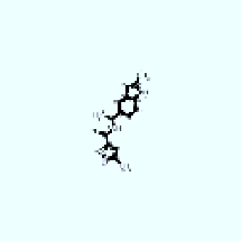 Cc1cc(C(=O)NC(C)c2ccc3[nH]c(C)cc3c2)on1